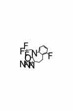 [N-]=[N+]=NC1CCc2c(F)cccc2N(CC(F)(F)F)C1=O